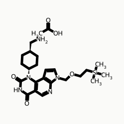 CC(=O)O.C[Si](C)(C)CCOCn1ccc2c1ncc1c(=O)[nH]c(=O)n([C@H]3CC[C@H](CN)CC3)c12